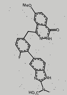 COc1ccc2c(=O)[nH]nc(Cc3ccc(F)c(-c4ccc5[nH]c(N(C)C(=O)O)nc5c4)c3)c2c1